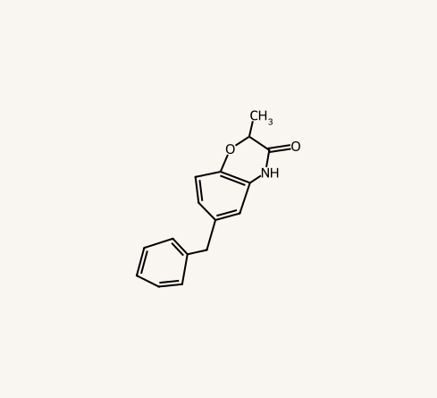 CC1Oc2ccc(Cc3ccccc3)cc2NC1=O